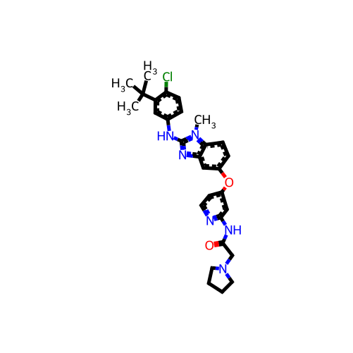 Cn1c(Nc2ccc(Cl)c(C(C)(C)C)c2)nc2cc(Oc3ccnc(NC(=O)CN4CCCC4)c3)ccc21